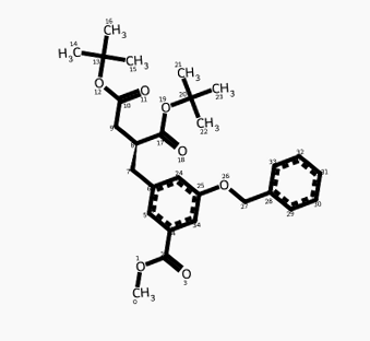 COC(=O)c1cc(C[C@@H](CC(=O)OC(C)(C)C)C(=O)OC(C)(C)C)cc(OCc2ccccc2)c1